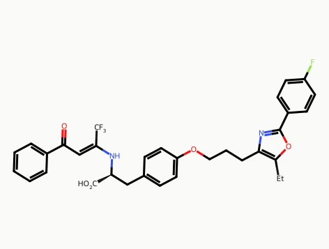 CCc1oc(-c2ccc(F)cc2)nc1CCCOc1ccc(C[C@H](NC(=CC(=O)c2ccccc2)C(F)(F)F)C(=O)O)cc1